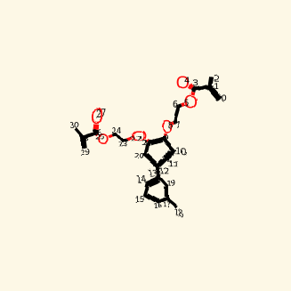 C=C(C)C(=O)OCCOc1ccc(-c2cccc(C)c2)cc1OCCOC(=O)C(=C)C